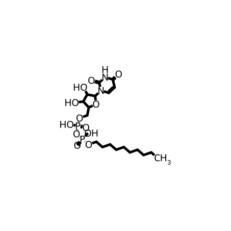 CCCCCCCCCCOP(=O)(O)OP(=O)(O)OCC1OC(n2ccc(=O)[nH]c2=O)C(O)C1O